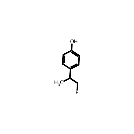 CC(CF)c1ccc(O)cc1